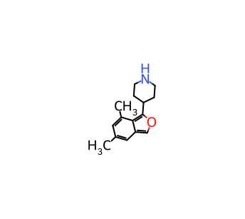 Cc1cc(C)c2c(C3CCNCC3)occ2c1